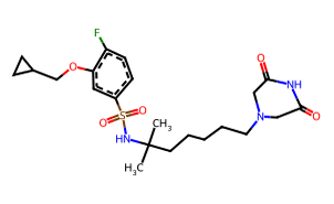 CC(C)(CCCCCN1CC(=O)NC(=O)C1)NS(=O)(=O)c1ccc(F)c(OCC2CC2)c1